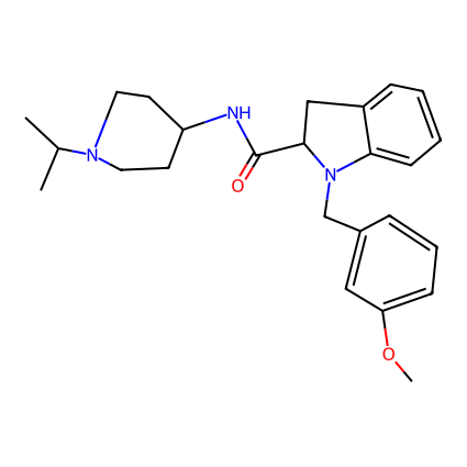 COc1cccc(CN2c3ccccc3CC2C(=O)NC2CCN(C(C)C)CC2)c1